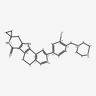 O=C1NC2(CC2)Cc2[nH]c3c(c21)CCc1cnc(-c2ccc(CN4CCOCC4)c(F)c2)cc1-3